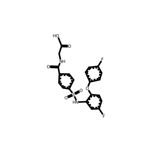 O=C(O)CNC(=O)c1ccc(S(=O)(=O)Nc2cc(F)ccc2Oc2ccc(F)cc2)cc1